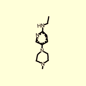 CCNc1ccc(N2CCN(C)CC2)cn1